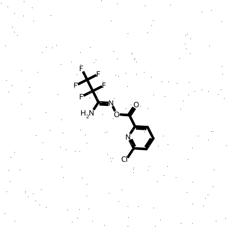 NC(=NOC(=O)c1cccc(Cl)n1)C(F)(F)C(F)(F)F